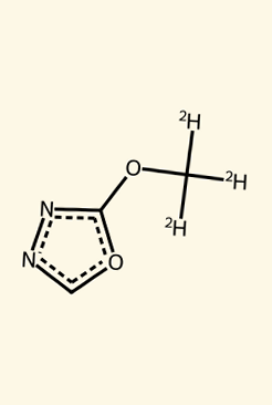 [2H]C([2H])([2H])Oc1nnco1